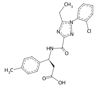 CCc1nc(C(=O)N[C@@H](CC(=O)O)c2ccc(C)cc2)nn1-c1ccccc1Cl